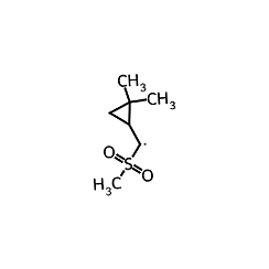 CC1(C)CC1[CH]S(C)(=O)=O